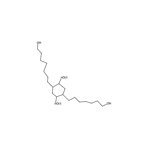 CCCCCCCCC1CC(CCCCCCCO)C(CCCCCCCC)CC1CCCCCCCO